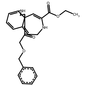 CCOC(=O)C1=CC23C(=CCN1)C=CC=C2NCC3C(=O)COCc1ccccc1